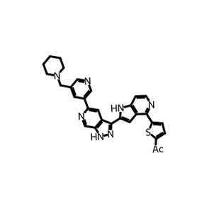 CC(=O)c1ccc(-c2nccc3[nH]c(-c4n[nH]c5cnc(-c6cncc(CN7CCCCC7)c6)cc45)cc23)s1